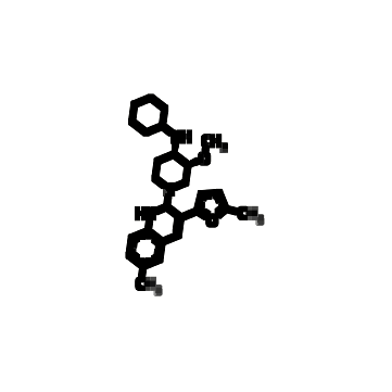 CO[C@H]1CN(C2Nc3ccc(C)cc3C=C2c2ccc(C)o2)CC[C@H]1NC1CCCCC1